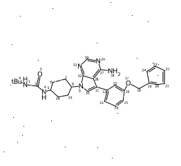 CC(C)(C)NC(=O)NC1CCC(n2cc(-c3cccc(OCc4ccccc4)c3)c3c(N)ncnc32)CC1